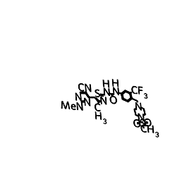 CNc1ncc(C#N)c(-c2sc(NC(=O)Nc3ccc(CN4CCN(S(C)(=O)=O)CC4)c(C(F)(F)F)c3)nc2C)n1